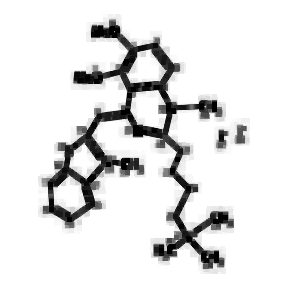 COc1ccc2c(c1OC)C(=Cc1sc3ccccc3[n+]1C)N=C(CCCC[N+](C)(C)C)N2C.[I-].[I-]